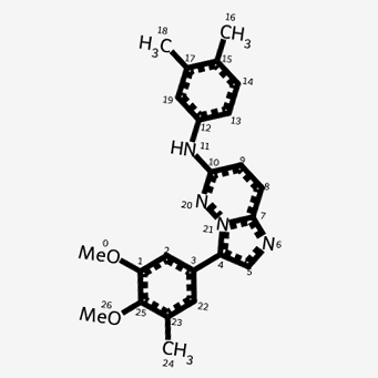 COc1cc(-c2cnc3ccc(Nc4ccc(C)c(C)c4)nn23)cc(C)c1OC